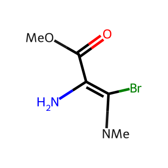 CN/C(Br)=C(\N)C(=O)OC